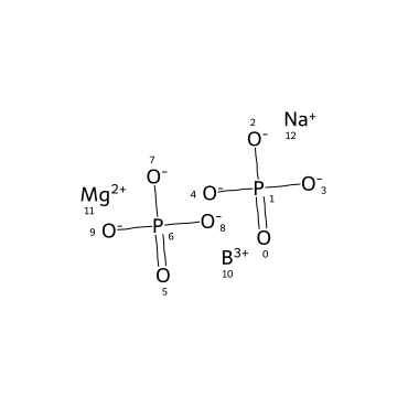 O=P([O-])([O-])[O-].O=P([O-])([O-])[O-].[B+3].[Mg+2].[Na+]